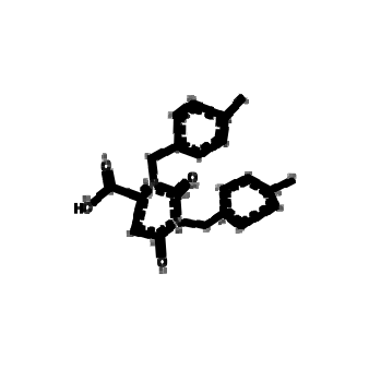 Cc1ccc(Cn2c(C(=O)O)cc(=O)n(Cc3ccc(C)cc3)c2=O)cc1